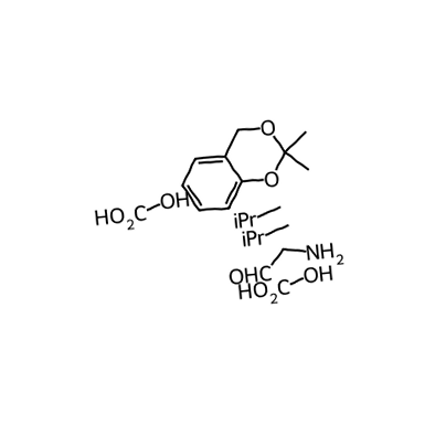 CC(C)C.CC(C)C.CC1(C)OCc2ccccc2O1.NCC=O.O=C(O)O.O=C(O)O